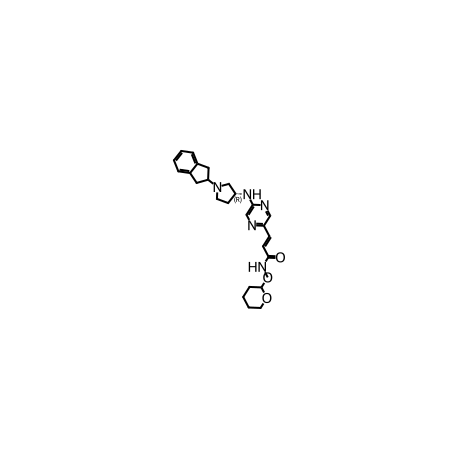 O=C(C=Cc1cnc(N[C@@H]2CCN(C3Cc4ccccc4C3)C2)cn1)NOC1CCCCO1